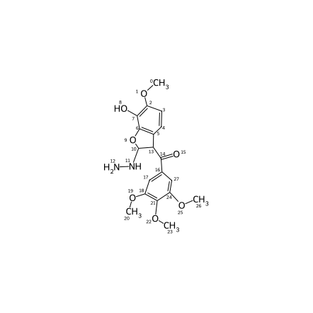 COc1ccc2c(c1O)OC(NN)C2C(=O)c1cc(OC)c(OC)c(OC)c1